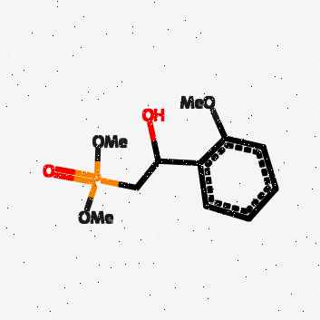 COc1ccccc1C(O)CP(=O)(OC)OC